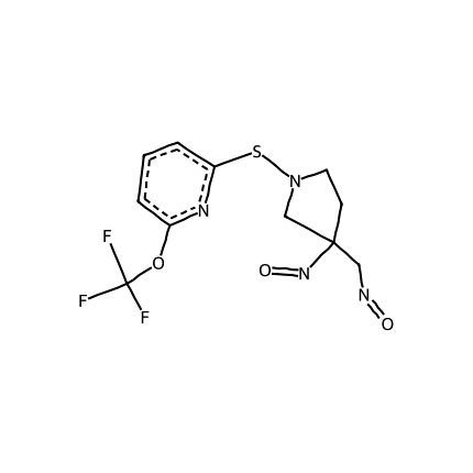 O=NCC1(N=O)CCN(Sc2cccc(OC(F)(F)F)n2)C1